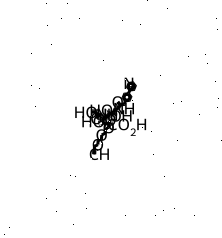 C#CCOCCOCCO[C@]1(C(=O)O)C[C@H](O)[C@@H](NC(=O)CO)[C@H]([C@H](O)[C@H](O)CNC(=O)Cc2ccc(-c3cccnc3)cc2)O1